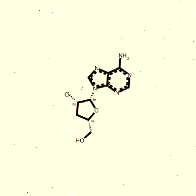 Nc1ncnc2c1ncn2[C@@H]1O[C@H](CO)C[C@@H]1Cl